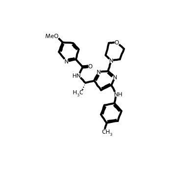 COc1ccc(C(=O)N[C@@H](C)c2cc(Nc3ccc(C)cc3)nc(N3CCOCC3)n2)nc1